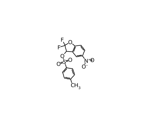 Cc1ccc(S(=O)(=O)OC2c3cc([N+](=O)[O-])ccc3OC2(F)F)cc1